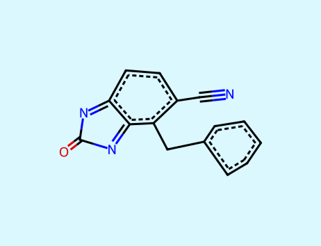 N#Cc1ccc2c(c1Cc1ccccc1)=NC(=O)N=2